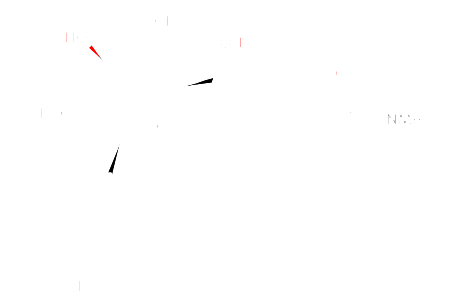 CNC(=O)c1ccc(-c2ccc(Cc3cc([C@@H]4O[C@H](CO)[C@@H](O)[C@H](O)[C@H]4O)ccc3Cl)s2)cc1